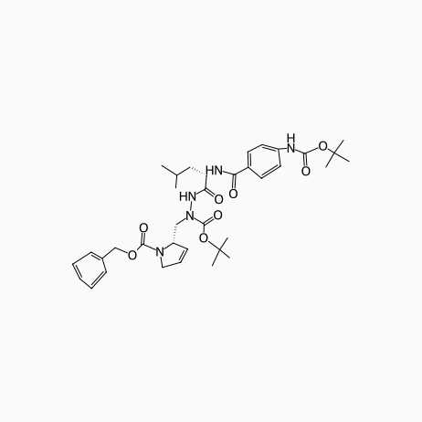 CC(C)C[C@H](NC(=O)c1ccc(NC(=O)OC(C)(C)C)cc1)C(=O)NN(C[C@@H]1C=CCN1C(=O)OCc1ccccc1)C(=O)OC(C)(C)C